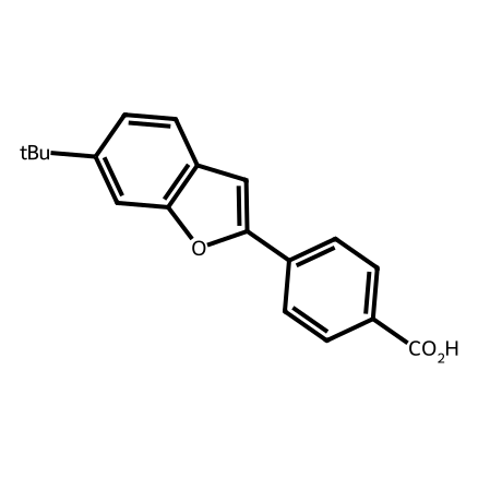 CC(C)(C)c1ccc2cc(-c3ccc(C(=O)O)cc3)oc2c1